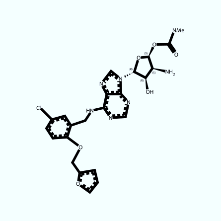 CNC(=O)O[C@@H]1O[C@@H](n2cnc3c(NCc4cc(Cl)ccc4OCc4ccco4)ncnc32)[C@H](O)[C@@H]1N